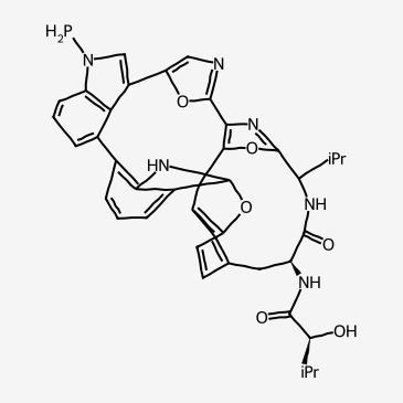 CC(C)C1NC(=O)[C@@H](NC(=O)[C@@H](O)C(C)C)Cc2ccc3c(c2)C24c5cccc(c5NC2O3)-c2cccc3c2c(cn3P)-c2cnc(o2)-c2nc1oc24